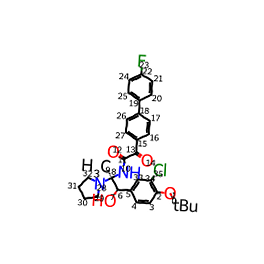 CC(C)(C)Oc1ccc([C@@H](O)[C@](C)(NC(=O)C(=O)c2ccc(-c3ccc(F)cc3)cc2)N2CCCC2)cc1Cl